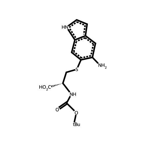 CC(C)(C)OC(=O)N[C@@H](CSc1cc2[nH]ccc2cc1N)C(=O)O